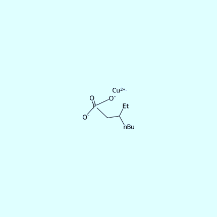 CCCCC(CC)CP(=O)([O-])[O-].[Cu+2]